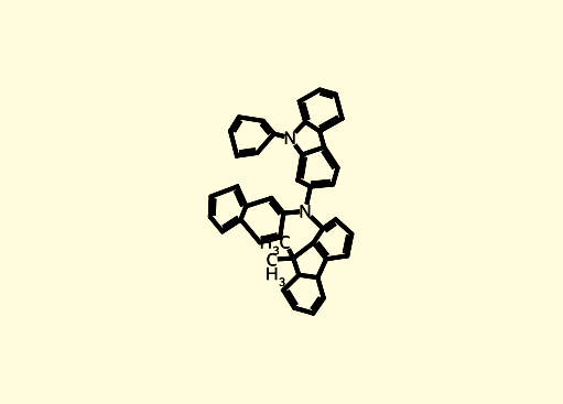 CC1(C)c2c(cccc2N(c2ccc3ccccc3c2)c2ccc3c4ccccc4n(-c4ccccc4)c3c2)C2C=CC=CC21